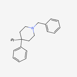 CC(C)C1(c2ccccc2)CCN(Cc2ccccc2)CC1